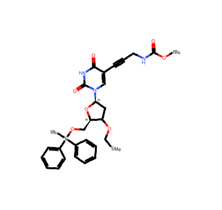 CSCOC1C[C@H](n2cc(C#CCNC(=O)OC(C)(C)C)c(=O)[nH]c2=O)O[C@@H]1CO[Si](c1ccccc1)(c1ccccc1)C(C)(C)C